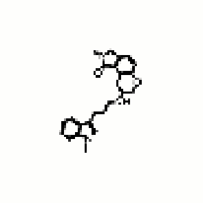 CN1Cc2ccc3c(c2C1=O)CC(NCCCc1c[nH]c2ccccc12)CO3